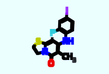 Cc1c(Nc2ccc(I)cc2F)[c]c2n(c1=O)CCS2